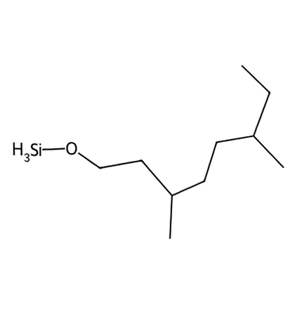 CCC(C)CCC(C)CCO[SiH3]